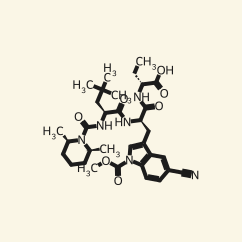 CC[C@@H](NC(=O)[C@@H](Cc1cn(C(=O)OC)c2ccc(C#N)cc12)NC(=O)[C@H](CC(C)(C)C)NC(=O)N1[C@H](C)CCC[C@@H]1C)C(=O)O